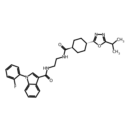 CC(C)c1nnc([C@H]2CC[C@H](C(=O)NCCNC(=O)c3cn(-c4ccccc4F)c4ccccc34)CC2)o1